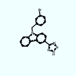 Brc1cccc(Cn2c3ccccc3c3cc(-c4nn[nH]n4)ccc32)c1